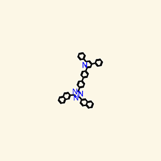 c1ccc(-c2cc(-c3ccccc3)nc(-c3ccc(-c4ccc(-c5nc(-c6ccc7ccccc7c6)nc(-c6ccc7ccccc7c6)n5)cc4)cc3)c2)cc1